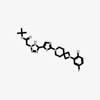 CC(C)(C)OC(=O)CN1N=NC(c2cnc(N3CCC4(CC3)CN(c3cc(F)ccc3Cl)C4)s2)N1